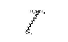 CCCCCCCCCCOCCN(C)C